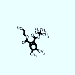 CC1C(C)C2CC1C(C(=O)OCCO)C2C(=O)OC(C)(C)C